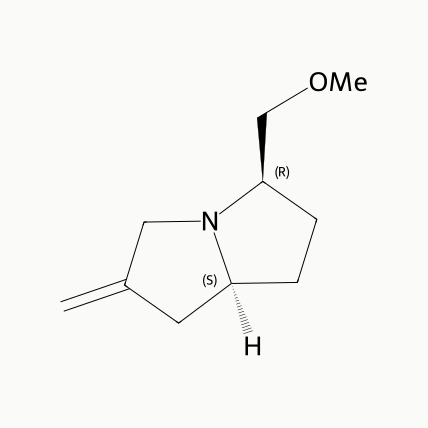 C=C1C[C@@H]2CC[C@H](COC)N2C1